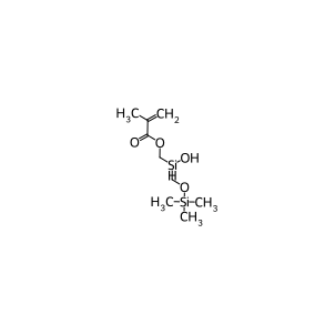 C=C(C)C(=O)OC[SiH](O)CO[Si](C)(C)C